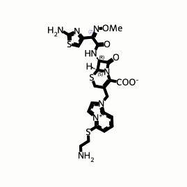 CO/N=C(\C(=O)N[C@@H]1C(=O)N2C(C(=O)[O-])=C(Cn3cc[n+]4c(SCCN)cccc34)CS[C@@H]12)c1csc(N)n1